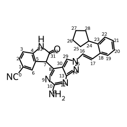 N#Cc1ccc2c(c1)C(c1nc(N)nc3nn(C=Cc4ccccc4C4CCCC4)cc13)C(=O)N2